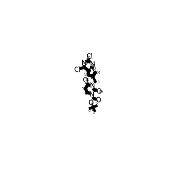 CC(C)(C)OC(=O)n1ccc(=O)n(Cc2cc3c(Cl)nc(Cl)nn3c2)c1=O